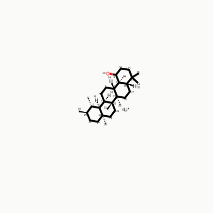 C[C@@H]1[C@H]2[C@H]3CC[C@@H]4[C@@]5(C)C([O-])CCC(C)(C)[C@@H]5CC[C@@]4(C)[C@]3(C)CC[C@@]2(C)CC[C@H]1C.[Li+]